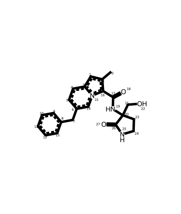 Cc1cc2ccc(Cc3ccccc3)cn2c1C(=O)NC1(CO)CCNC1=O